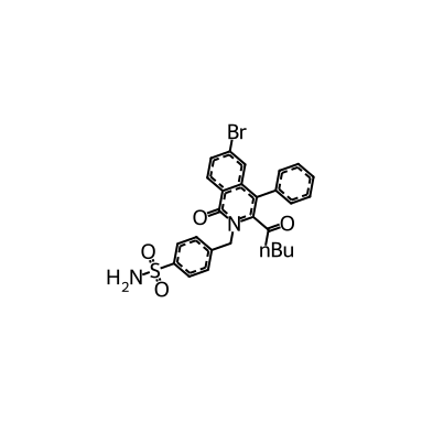 CCCCC(=O)c1c(-c2ccccc2)c2cc(Br)ccc2c(=O)n1Cc1ccc(S(N)(=O)=O)cc1